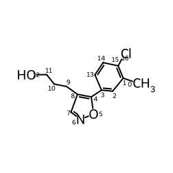 Cc1cc(-c2oncc2CCCO)ccc1Cl